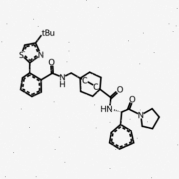 CC(C)(C)c1csc(-c2ccccc2C(=O)NCC23CCC(C(=O)N[C@H](C(=O)N4CCCC4)c4ccccc4)(CC2)CC3)n1